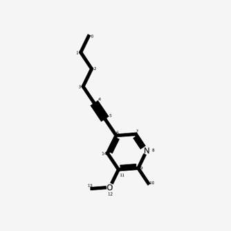 CCCCC#Cc1cnc(C)c(OC)c1